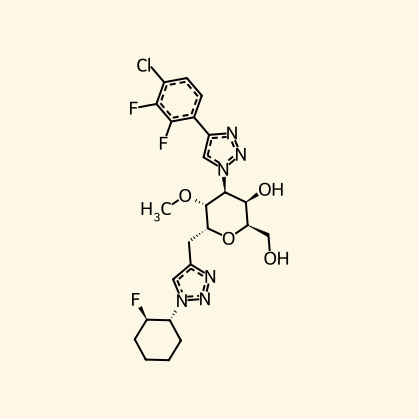 CO[C@@H]1[C@@H](n2cc(-c3ccc(Cl)c(F)c3F)nn2)[C@@H](O)[C@@H](CO)O[C@@H]1Cc1cn([C@@H]2CCCC[C@H]2F)nn1